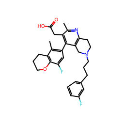 Cc1nc2c(c(-c3cc(F)c4c(c3C)CCCO4)c1CC(=O)O)CN(CCCc1cccc(F)c1)CC2